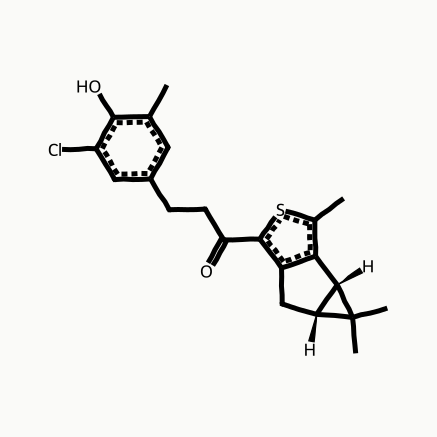 Cc1cc(CCC(=O)c2sc(C)c3c2C[C@@H]2[C@H]3C2(C)C)cc(Cl)c1O